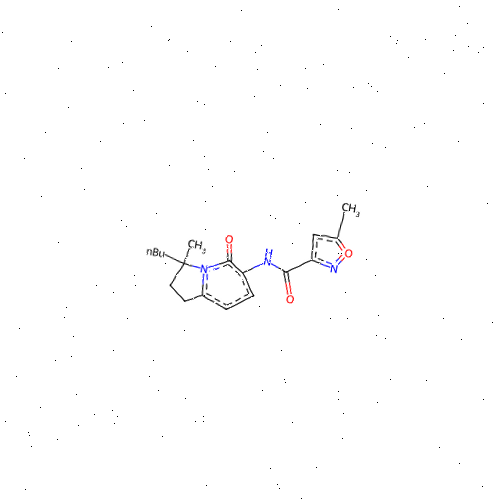 CCCCC1(C)CCc2ccc(NC(=O)c3cc(C)on3)c(=O)n21